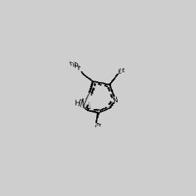 CCCc1[nH]c(C(C)C)nc1CC